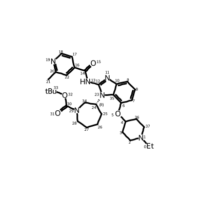 CCN1CCC(Oc2cccc3nc(NC(=O)c4ccnc(C)c4)n([C@@H]4CCCCN(C(=O)OC(C)(C)C)C4)c23)CC1